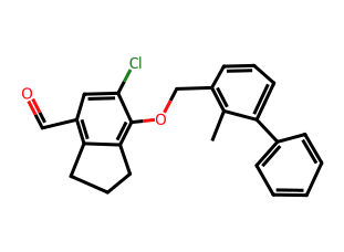 Cc1c(COc2c(Cl)cc(C=O)c3c2CCC3)cccc1-c1ccccc1